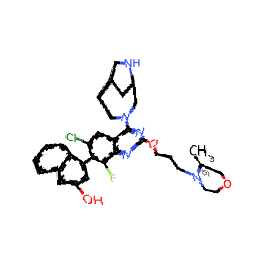 C[C@H]1COCCN1CCCOc1nc(N2CCC3CNC(C3)C2)c2cc(Cl)c(-c3cc(O)cc4ccccc34)c(F)c2n1